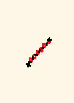 CC(C)(C)CCOCCOCCOCCOCCOCCOC(C)(C)C